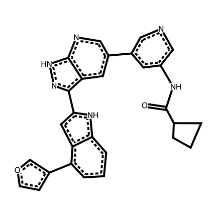 O=C(Nc1cncc(-c2cnc3[nH]nc(-c4cc5c(-c6ccoc6)cccc5[nH]4)c3c2)c1)C1CCC1